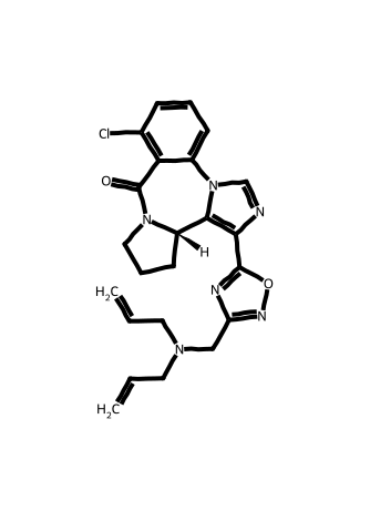 C=CCN(CC=C)Cc1noc(-c2ncn3c2[C@@H]2CCCN2C(=O)c2c(Cl)cccc2-3)n1